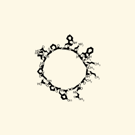 CCCC[C@@H]1C(=O)N(C)[C@H](CCCC)C(=O)N[C@@H](C)C(=O)N[C@@H](C(=O)NCC(N)=O)CSCC(=O)N[C@@H](Cc2ccc(O)cc2)C(=O)N2CCCC2C(=O)N[C@H](CC(=O)O)C(=O)N2CCC[C@H]2C(=O)N[C@H](Cc2c[nH]cn2)C(=O)N[C@@H](CCC(=O)O)C(=O)N2CCCC2C(=O)N[C@H](Cc2c[nH]c3ccccc23)C(=O)N[C@@H](CCN)C(=O)N[C@@H](Cc2c[nH]c3ccccc23)C(=O)N1C